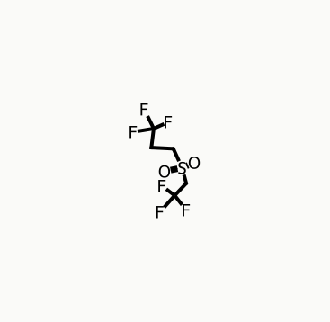 O=S(=O)(CCC(F)(F)F)CC(F)(F)F